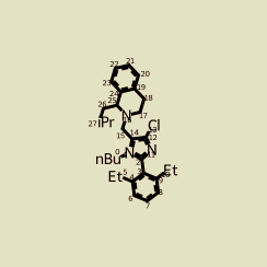 CCCCn1c(-c2c(CC)cccc2CC)nc(Cl)c1CN1CCc2ccccc2C1CC(C)C